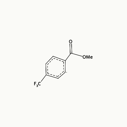 COC(=O)c1[c]cc(C(F)(F)F)cc1